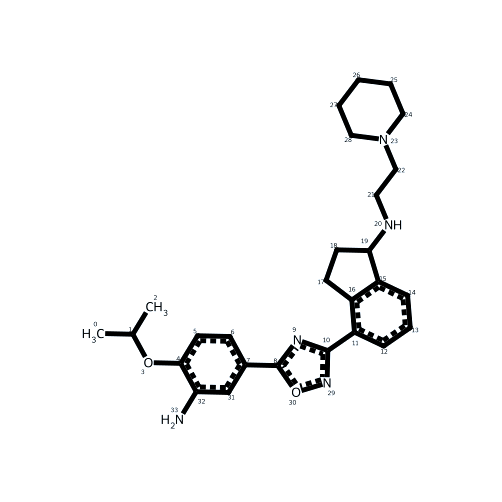 CC(C)Oc1ccc(-c2nc(-c3cccc4c3CCC4NCCN3CCCCC3)no2)cc1N